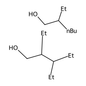 CCC(CC)C(CC)CO.CCCCC(CC)CO